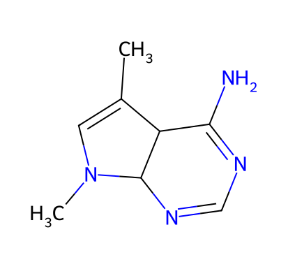 CC1=CN(C)C2N=CN=C(N)C12